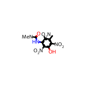 CNC(=O)Nc1c([N+](=O)[O-])c(C)c([N+](=O)[O-])c(O)c1[N+](=O)[O-]